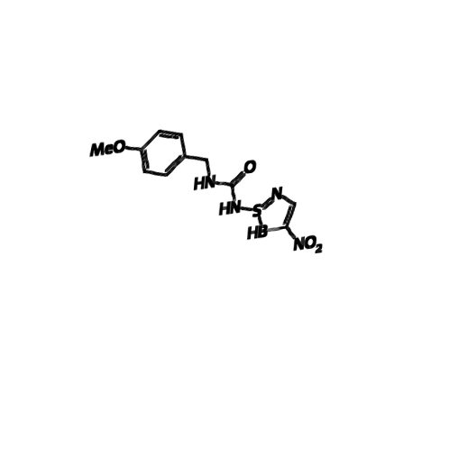 COc1ccc(CNC(=O)NS2=NC=C([N+](=O)[O-])B2)cc1